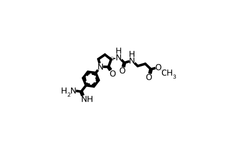 COC(=O)CCNC(=O)N[C@H]1CCN(c2ccc(C(=N)N)cc2)C1=O